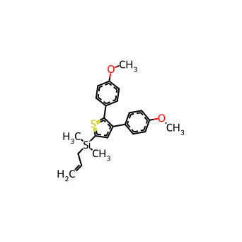 C=CC[Si](C)(C)c1cc(-c2ccc(OC)cc2)c(-c2ccc(OC)cc2)s1